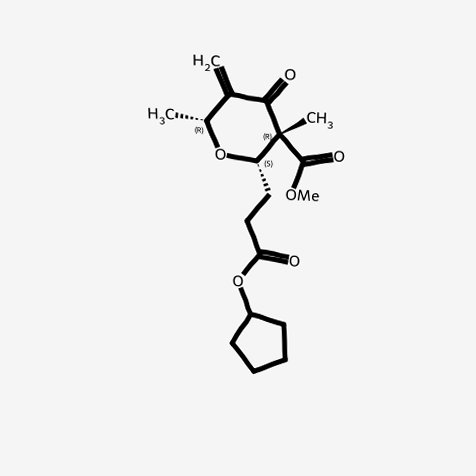 C=C1C(=O)[C@](C)(C(=O)OC)[C@H](CCC(=O)OC2CCCC2)O[C@@H]1C